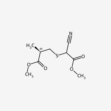 COC(=O)C(C#N)SC[C@H](C)C(=O)OC